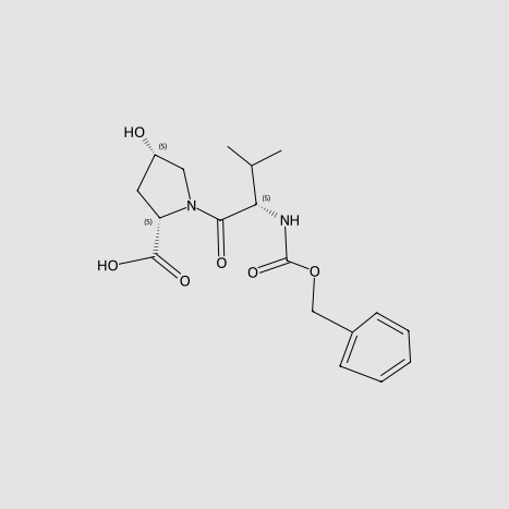 CC(C)[C@H](NC(=O)OCc1ccccc1)C(=O)N1C[C@@H](O)C[C@H]1C(=O)O